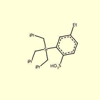 CCc1ccc(S(=O)(=O)O)c([Si](CC(C)C)(CC(C)C)CC(C)C)c1